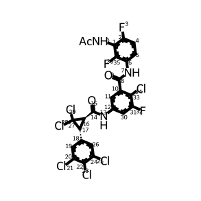 CC(=O)Nc1c(F)ccc(NC(=O)c2cc(NC(=O)[C@H]3[C@H](c4cc(Cl)c(Cl)c(Cl)c4)C3(Cl)Cl)cc(F)c2Cl)c1F